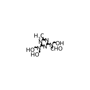 Cc1nc(N(C=O)CO)nc(N(CO)CO)n1